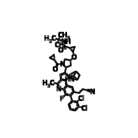 Cc1nc2c(F)c(-c3cccc(Cl)c3Cl)c(CCC#N)cc2c2c1cc(C1CC(OC3CC3C(=O)NC(C)(C)C)CN1C(=O)C1CC1)n2C1C2CNC1C2